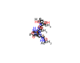 C=C(NC(=O)c1csc(C2=NC(c3csc(C(N)C(C)OC(=O)c4cc(C(C)O)c5c(n4)C(O)C(C)C=C5)n3)C(CCC(=O)C(C)C)(c3nc(C(N)=O)cs3)CC2)n1)C(C)=O